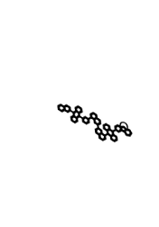 c1cc(-c2cccc3ccc(-c4ccc5cccc(-c6c7ccccc7c(-c7ccc8oc9ccccc9c8c7)c7ccccc67)c5c4)cc23)cc(-c2c3ccccc3c(-c3ccc4ccccc4c3)c3ccccc23)c1